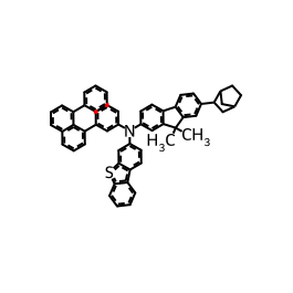 CC1(C)c2cc(C3CC4CCC3C4)ccc2-c2ccc(N(c3cccc(-c4cccc5cccc(-c6ccccc6)c45)c3)c3ccc4c(c3)sc3ccccc34)cc21